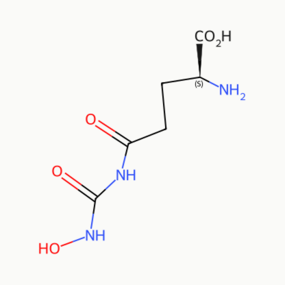 N[C@@H](CCC(=O)NC(=O)NO)C(=O)O